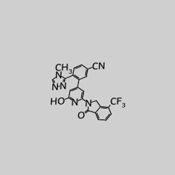 Cn1cnnc1-c1ccc(C#N)cc1-c1cc(O)nc(N2Cc3c(cccc3C(F)(F)F)C2=O)c1